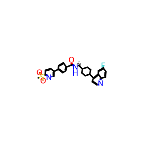 C[C@@H](NC(=O)c1ccc(-c2ccc(S(C)(=O)=O)nc2)cc1)C1CCC(c2ccnc3ccc(F)cc23)CC1